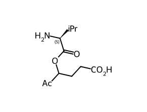 CC(=O)C(CCC(=O)O)OC(=O)[C@@H](N)C(C)C